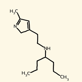 CCCC(CCC)NCCC1=CC(C)=NC1